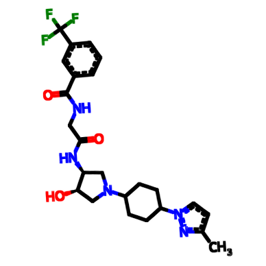 Cc1ccn(C2CCC(N3C[C@@H](O)[C@@H](NC(=O)CNC(=O)c4cccc(C(F)(F)F)c4)C3)CC2)n1